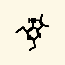 CCc1nc(CC)c2[nH]c(C)c(C)c2n1